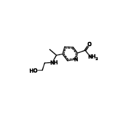 CC(NCCO)c1ccc(C(N)=O)nc1